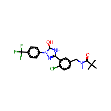 CC(C)(C)C(=O)NCc1ccc(Cl)c(C2=NN(c3ccc(C(F)(F)F)cc3)C(O)N2)c1